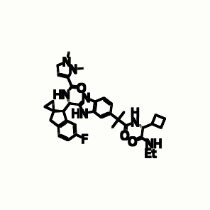 CCNC(=O)[C@H](NC(=O)C(C)(C)c1ccc2nc([C@@H](NC(=O)C3=CCN(C)N3C)[C@H]3c4cc(F)ccc4CC34CC4)[nH]c2c1)C1CCC1